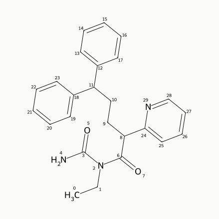 CCN(C(N)=O)C(=O)C(CCC(c1ccccc1)c1ccccc1)c1ccccn1